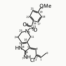 C/C=C(Cl)\C=C1/C(=N)NC2=C1CN(S(=O)(=O)c1ccc(OC)cc1)CC2